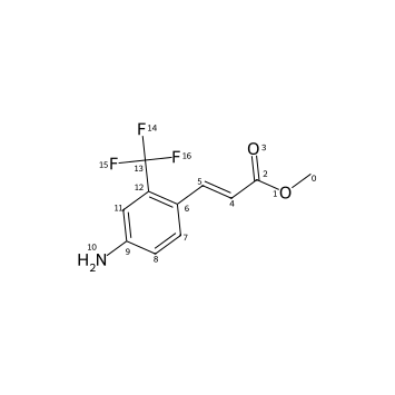 COC(=O)C=Cc1ccc(N)cc1C(F)(F)F